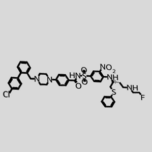 O=C(NS(=O)(=O)c1ccc(N[C@H](CCNCCF)CSc2ccccc2)c([N+](=O)[O-])c1)c1ccc(N2CCN(Cc3ccccc3-c3ccc(Cl)cc3)CC2)cc1